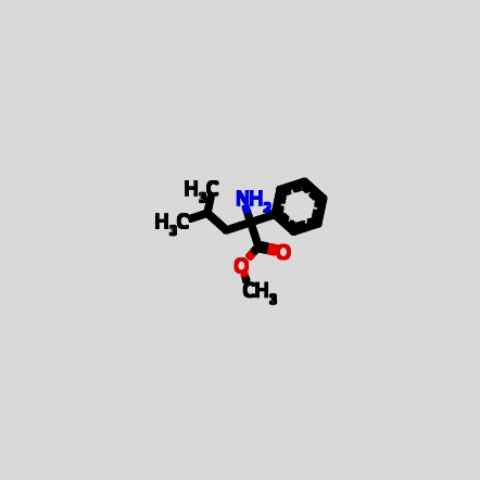 COC(=O)C(N)(CC(C)C)c1ccccc1